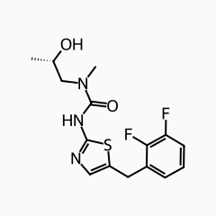 C[C@H](O)CN(C)C(=O)Nc1ncc(Cc2cccc(F)c2F)s1